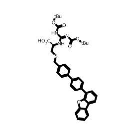 CC(C)(C)OC(=O)/N=C(/NC(=O)OC(C)(C)C)N[C@@H](CSCc1ccc(-c2ccc(-c3cccc4c3oc3ccccc34)cc2)cc1)C(=O)O